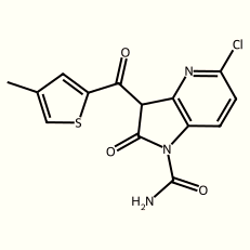 Cc1csc(C(=O)C2C(=O)N(C(N)=O)c3ccc(Cl)nc32)c1